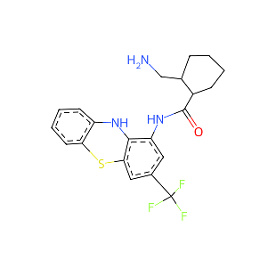 NCC1CCCCC1C(=O)Nc1cc(C(F)(F)F)cc2c1Nc1ccccc1S2